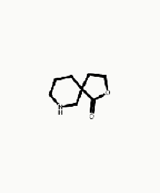 O=C1OCCC12CCCNC2